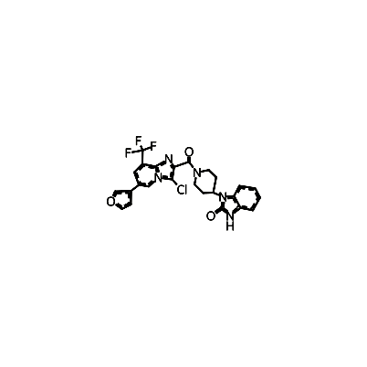 O=C(c1nc2c(C(F)(F)F)cc(-c3ccoc3)cn2c1Cl)N1CCC(n2c(=O)[nH]c3ccccc32)CC1